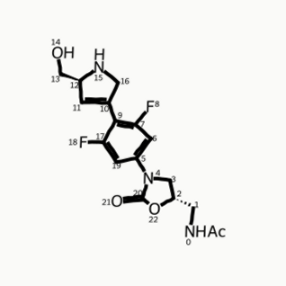 CC(=O)NC[C@H]1CN(c2cc(F)c(C3=C[C@@H](CO)NC3)c(F)c2)C(=O)O1